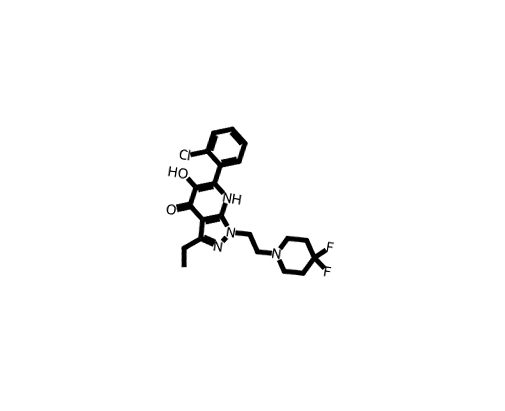 CCc1nn(CCN2CCC(F)(F)CC2)c2[nH]c(-c3ccccc3Cl)c(O)c(=O)c12